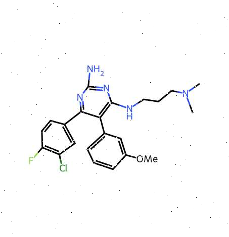 COc1cccc(-c2c(NCCCN(C)C)nc(N)nc2-c2ccc(F)c(Cl)c2)c1